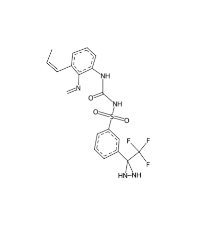 C=Nc1c(/C=C\C)cccc1NC(=O)NS(=O)(=O)c1cccc(C2(C(F)(F)F)NN2)c1